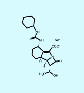 CC(O)[C@H]1C(=O)N2C(C(=O)[O-])=C3[C@@H](NC(=O)NC4CCCCC4)CCC[C@@H]3[C@H]12.[Na+]